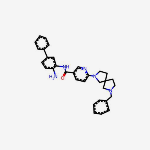 Nc1ccc(-c2ccccc2)cc1NC(=O)c1ccc(N2CCC3(CCN(Cc4ccccc4)C3)C2)nc1